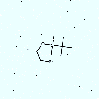 C[C@@H](CBr)O[Si](C)(C)C(C)(C)C